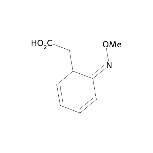 CO/N=C1/C=CC=CC1CC(=O)O